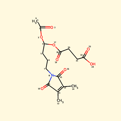 CC(=O)OC(CCCN1C(=O)C(C)=C(C)C1=O)OC(=O)CCC(=O)O